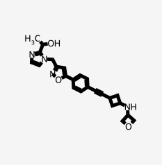 CC(O)c1nccn1Cc1cc(-c2ccc(C#CC3CC(NC4COC4)C3)cc2)on1